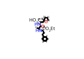 CCOC(=O)[C@H](CCc1ccccc1)NC(C)C(=O)NC(C[C@]1(C)CCCO1)C(=O)O